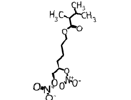 CC(C)[C@H](C)C(=O)OCCCC[C@H](CO[N+](=O)[O-])O[N+](=O)[O-]